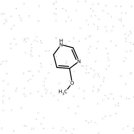 COC1=CCNC=N1